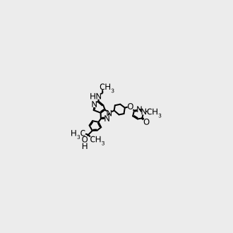 CCNc1cc2c(cn1)c(-c1ccc(C(C)(C)O)cc1)nn2C1CCC(Oc2ccc(=O)n(C)n2)CC1